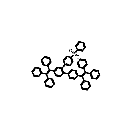 O=S(=O)(c1ccccc1)c1ccc(-c2cc(C(=C(c3ccccc3)c3ccccc3)c3ccccc3)ccc2-c2ccc(C(=C(c3ccccc3)c3ccccc3)c3ccccc3)cc2)cc1